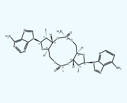 B[P@]1(=O)OC[C@H]2O[C@@H](n3cnc4c(N)ccnc43)[C@H](F)[C@@H]2O[P@@](C)(=O)OC[C@H]2O[C@@H](n3cnc4c(N)ncnc43)[C@H](F)[C@@H]2O1